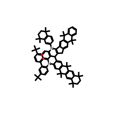 Cc1cc2c3c(c1)N(c1ccc(C(C)(C)C)cc1-c1ccc(C(C)(C)C)cc1)c1cc4c(cc1C3C1=C(c3cc5c(cc3C1)C(C)(C)c1ccccc1C5(C)C)N2c1ccc2c(c1)C(C)(C)CCC2(C)C)C(C)(C)c1cc2c(cc1C4(C)C)C(C)(C)CCC2(C)C